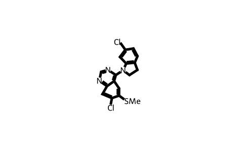 CSc1cc2c(N3CCc4ccc(Cl)cc43)ncnc2cc1Cl